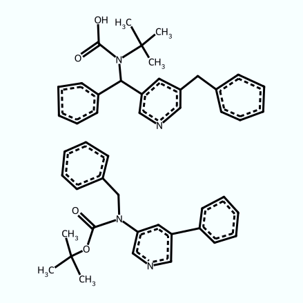 CC(C)(C)N(C(=O)O)C(c1ccccc1)c1cncc(Cc2ccccc2)c1.CC(C)(C)OC(=O)N(Cc1ccccc1)c1cncc(-c2ccccc2)c1